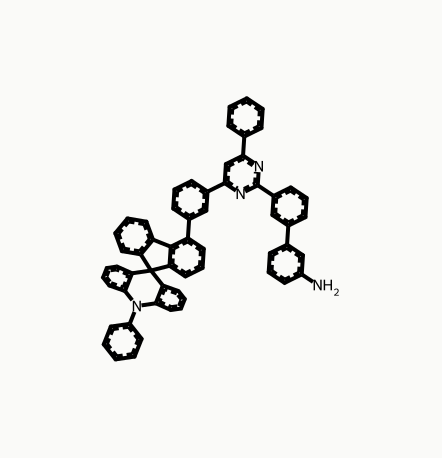 Nc1cccc(-c2cccc(-c3nc(-c4ccccc4)cc(-c4cccc(-c5cccc6c5-c5ccccc5C65c6ccccc6N(c6ccccc6)c6ccccc65)c4)n3)c2)c1